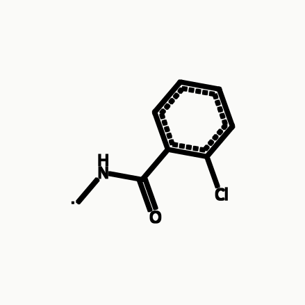 [CH2]NC(=O)c1ccccc1Cl